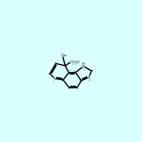 CCOC(=O)C1(O)C=CN=c2ccc3c(c21)NCN=3